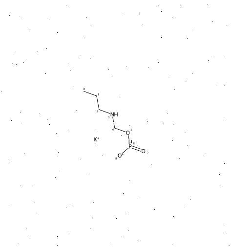 CCCNCO[PH](=O)[O-].[K+]